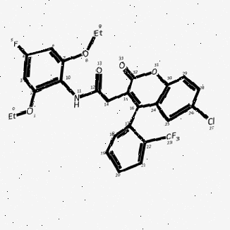 CCOc1cc(F)cc(OCC)c1NC(=O)Cc1c(-c2ccccc2C(F)(F)F)c2cc(Cl)ccc2oc1=O